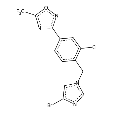 FC(F)(F)c1nc(-c2ccc(Cn3cnc(Br)c3)c(Cl)c2)no1